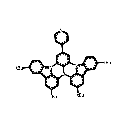 CC(C)(C)c1ccc2c(c1)c1cc(C(C)(C)C)cc3c1n2-c1cc(-c2ccncc2)cc2c1B3c1cc(C(C)(C)C)cc3c4cc(C(C)(C)C)ccc4n-2c13